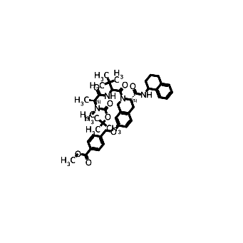 COC(=O)c1ccc(COc2ccc3c(c2)CN(C(=O)C(NC(=O)[C@H](C)N(C)C(=O)OC(C)(C)C)C(C)(C)C)[C@H](C(=O)NC2CCCc4ccccc42)C3)cc1